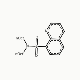 CCCCCCCCN(CCCCCCCC)S(=O)(=O)c1cccc2cccnc12